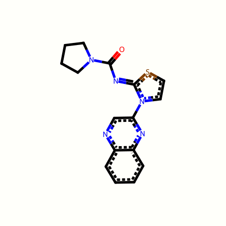 O=C(N=c1sccn1-c1cnc2ccccc2n1)N1CCCC1